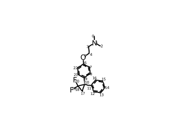 CN(C)CCOc1ccc([C@@]2(c3ccccc3)CC2(F)F)cc1